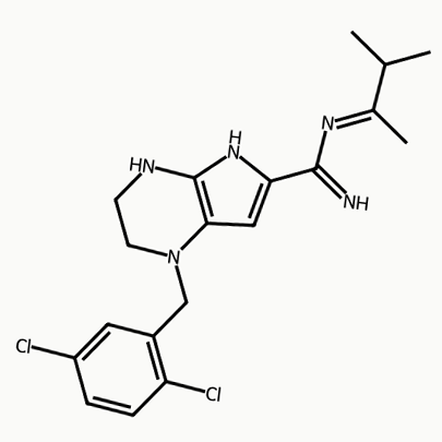 C/C(=N\C(=N)c1cc2c([nH]1)NCCN2Cc1cc(Cl)ccc1Cl)C(C)C